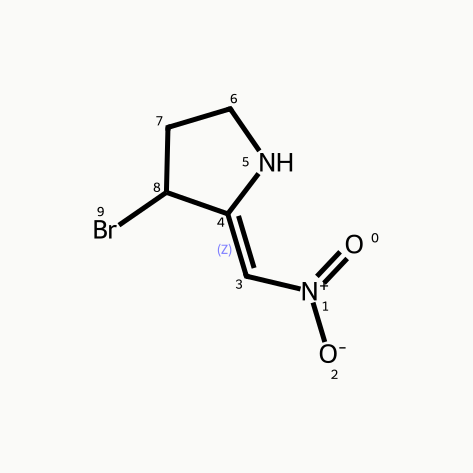 O=[N+]([O-])/C=C1\NCCC1Br